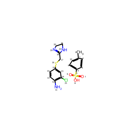 Cc1ccc(S(=O)(=O)O)cc1.Nc1ccc(SCC2=NCCN2)cc1Cl